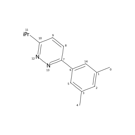 Cc1cc(C)cc(-c2ccc(C(C)C)nn2)c1